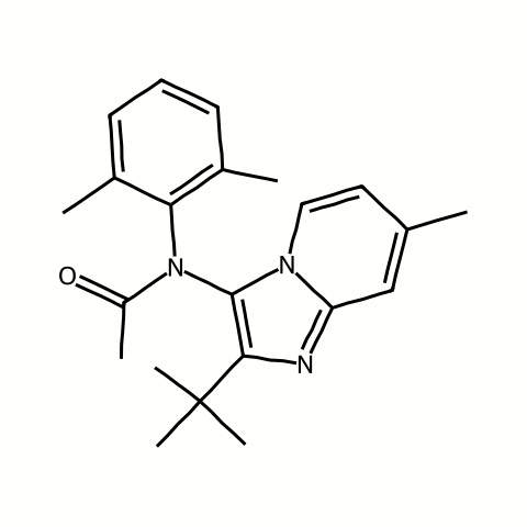 CC(=O)N(c1c(C)cccc1C)c1c(C(C)(C)C)nc2cc(C)ccn12